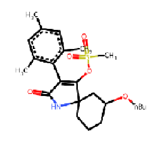 CCCCOC1CCCC2(C1)NC(=O)C(c1c(C)cc(C)cc1C)=C2OS(C)(=O)=O